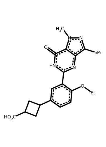 CCCc1nn(C)c2c(=O)[nH]c(-c3cc(C4CC(C(=O)O)C4)ccc3OCC)nc12